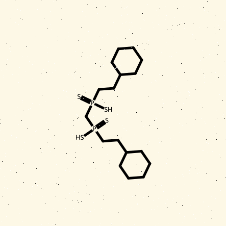 S=P(S)(CCC1CCCCC1)CP(=S)(S)CCC1CCCCC1